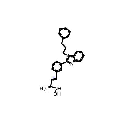 C=C(/C=C/c1cccc(-c2nc3ccccc3n2CCCc2ccccc2)c1)NO